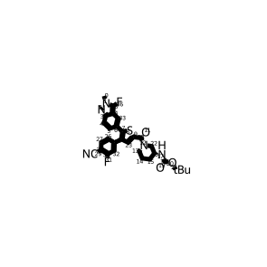 Cn1nc2ccc(-c3sc(C(=O)N4CCC[C@@H](NC(=O)OC(C)(C)C)C4)cc3-c3ccc(C#N)c(F)c3)cc2c1F